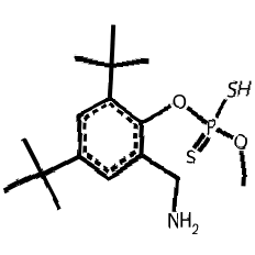 COP(=S)(S)Oc1c(CN)cc(C(C)(C)C)cc1C(C)(C)C